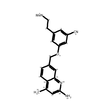 CNCCc1cc(C#N)cc(OCc2ccc3c(C)cc(N)nc3c2)c1